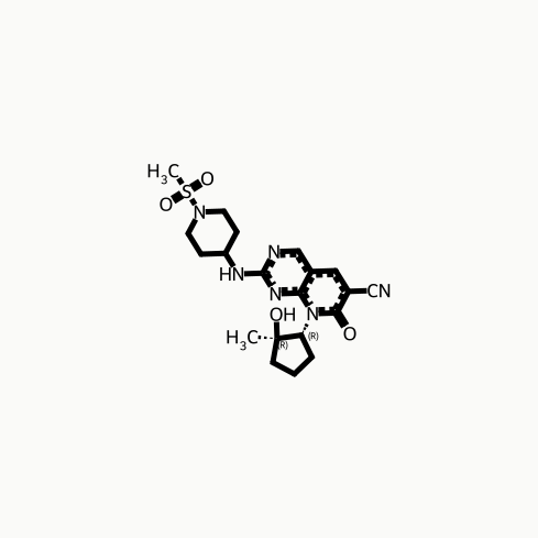 C[C@@]1(O)CCC[C@H]1n1c(=O)c(C#N)cc2cnc(NC3CCN(S(C)(=O)=O)CC3)nc21